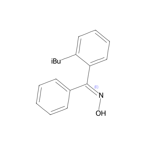 CCC(C)c1ccccc1/C(=N/O)c1ccccc1